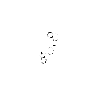 O=C(OC1CCCCc2cccnc21)N1CCCC(n2c(=O)[nH]c3ncccc32)CC1